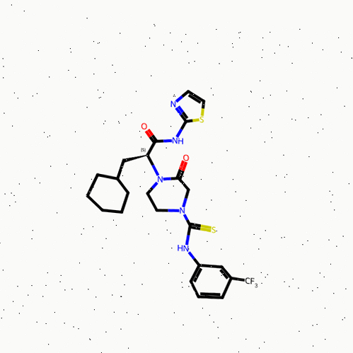 O=C(Nc1nccs1)[C@H](CC1CCCCC1)N1CCN(C(=S)Nc2cccc(C(F)(F)F)c2)CC1=O